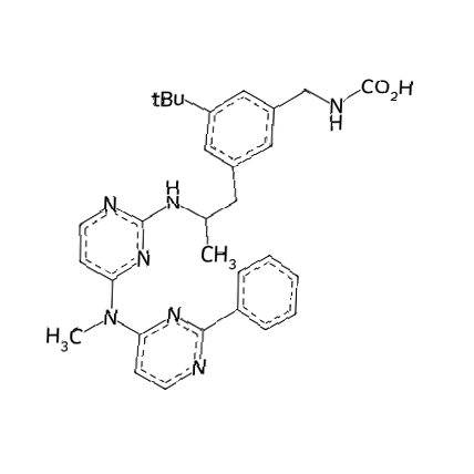 CC(Cc1cc(CNC(=O)O)cc(C(C)(C)C)c1)Nc1nccc(N(C)c2ccnc(-c3ccccc3)n2)n1